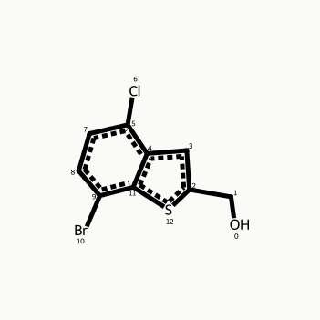 OCc1cc2c(Cl)ccc(Br)c2s1